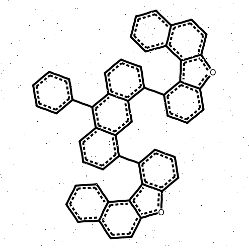 c1ccc(-c2c3cccc(-c4cccc5oc6ccc7ccccc7c6c45)c3cc3c(-c4cccc5oc6ccc7ccccc7c6c45)cccc23)cc1